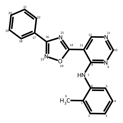 Cc1ccccc1Nc1ncncc1-c1nc(-c2ccccc2)no1